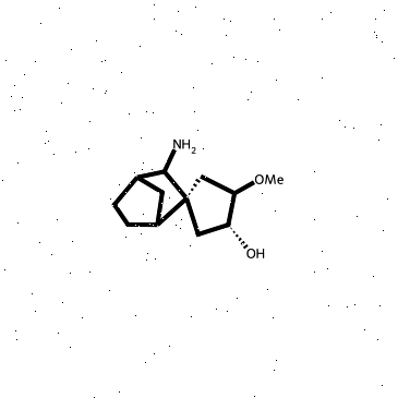 COC1C[C@]2(C[C@H]1O)C1CCC(C1)C2N